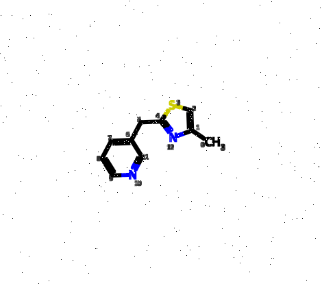 Cc1csc(Cc2cccnc2)n1